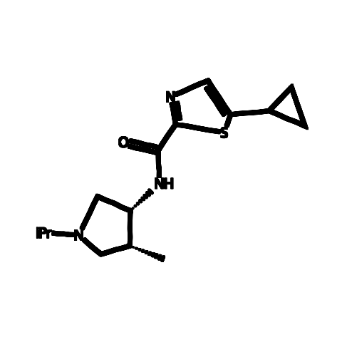 CC(C)N1C[C@@H](C)[C@@H](NC(=O)c2ncc(C3CC3)s2)C1